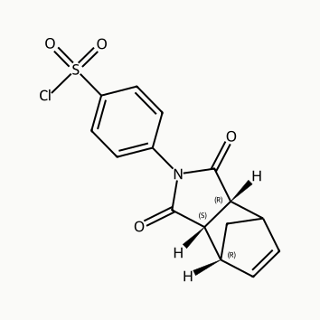 O=C1[C@@H]2[C@H](C(=O)N1c1ccc(S(=O)(=O)Cl)cc1)C1C=C[C@H]2C1